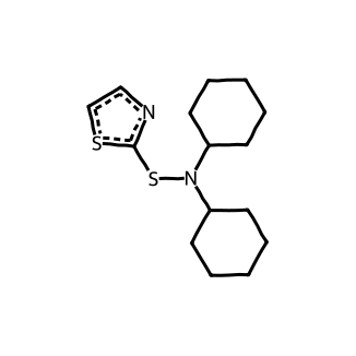 c1csc(SN(C2CCCCC2)C2CCCCC2)n1